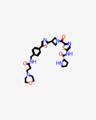 O=C(CCN1CCOCC1)NCc1ccc(-c2cnc(C3CN(C(=O)c4ncc(NC(=O)[C@@H]5CCCN5)s4)C3)s2)cc1